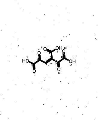 O=C(O)C(=O)C=C(C(=O)O)C(=O)C(=O)O